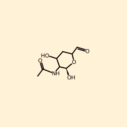 CC(=O)NC1C(O)CC(C=O)O[C@H]1O